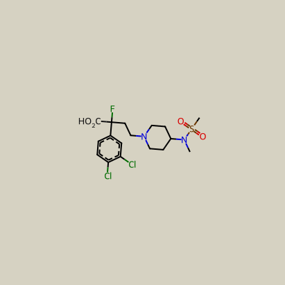 CN(C1CCN(CCC(F)(C(=O)O)c2ccc(Cl)c(Cl)c2)CC1)S(C)(=O)=O